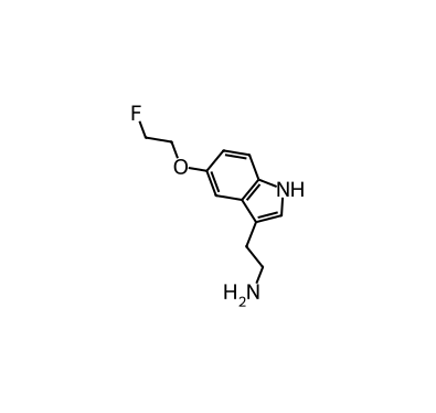 NCCc1c[nH]c2ccc(OCCF)cc12